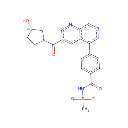 CS(=O)(=O)NC(=O)c1ccc(-c2cncc3ncc(C(=O)N4CC[C@H](O)C4)cc23)cc1